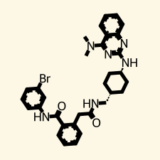 CN(C)c1nc(N[C@H]2CC[C@@H](CNC(=O)Cc3ccccc3C(=O)Nc3cccc(Br)c3)CC2)nc2ccccc12